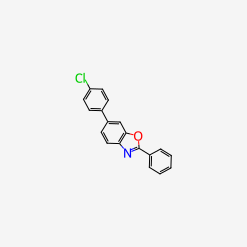 Clc1ccc(-c2ccc3nc(-c4ccccc4)oc3c2)cc1